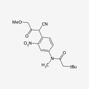 COCC(=O)C(C#N)c1ccc(N(C)C(=O)CC(C)(C)C)cc1[N+](=O)[O-]